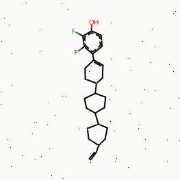 C=CC1CCC(C2CCC(C3CC=C(c4ccc(O)c(F)c4F)CC3)CC2)CC1